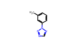 Cc1cc[c]c(-n2ncnn2)c1